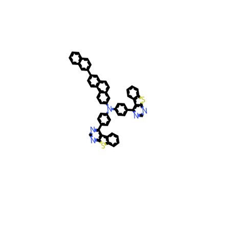 c1ccc2cc(-c3ccc4c(ccc5cc(N(c6ccc(-c7ncnc8sc9ccccc9c78)cc6)c6ccc(-c7ncnc8sc9ccccc9c78)cc6)ccc54)c3)ccc2c1